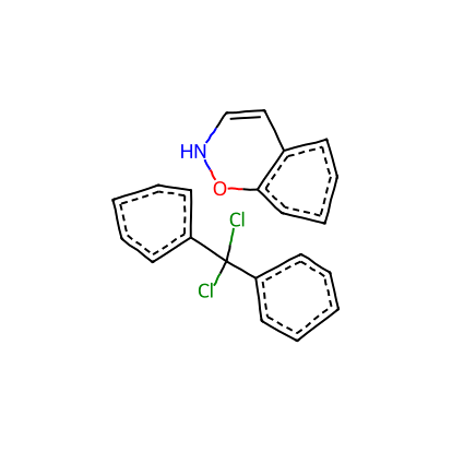 C1=Cc2ccccc2ON1.ClC(Cl)(c1ccccc1)c1ccccc1